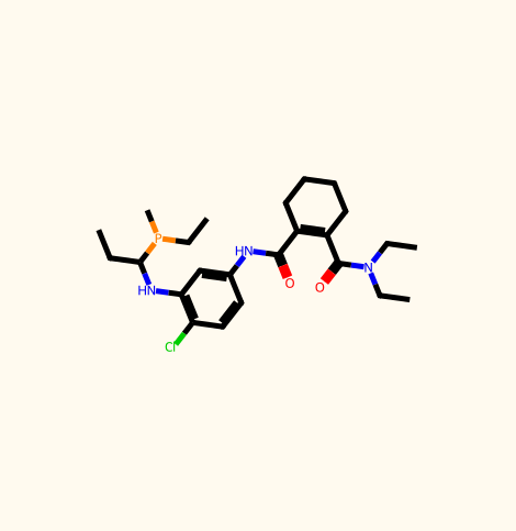 CCC(Nc1cc(NC(=O)C2=C(C(=O)N(CC)CC)CCCC2)ccc1Cl)P(C)CC